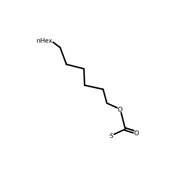 CCCCCCCCCCCCOC(=O)[S]